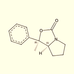 C[C@]1(c2ccccc2)OC(=O)N2CCC[C@H]21